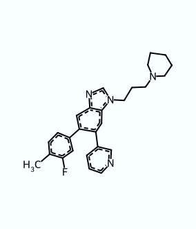 Cc1ccc(-c2cc3ncn(CCCN4CCCCC4)c3cc2-c2cccnc2)cc1F